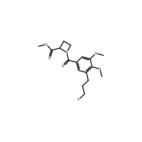 COC(=O)C1CCN1C(=O)c1cc(CCCF)c(OC)c(OC)c1